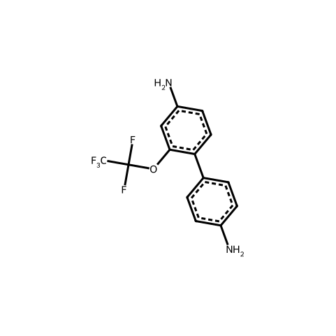 Nc1ccc(-c2ccc(N)cc2OC(F)(F)C(F)(F)F)cc1